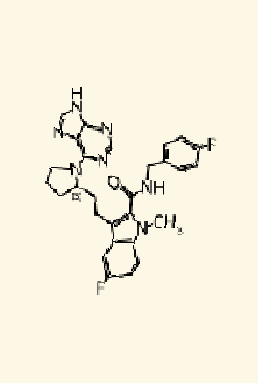 Cn1c(C(=O)NCc2ccc(F)cc2)c(CC[C@H]2CCCN2c2ncnc3[nH]cnc23)c2cc(F)ccc21